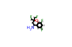 NC1CC(CF)(CF)Oc2c(F)cc(F)cc21